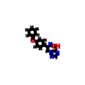 ON=C(Cn1cncn1)c1ccc(Oc2ccccc2)cc1